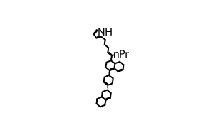 CCC/C(=C\CCCc1ccc[nH]1)C1CCC(C2CC=C([C@@H]3CC=C4CCCCC4C3)CC2)=C2C=CCCC21